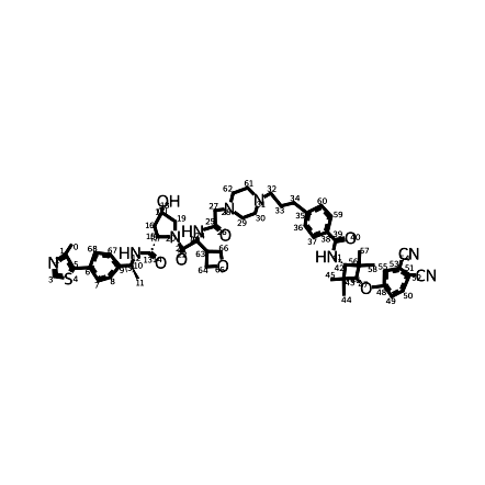 Cc1ncsc1-c1ccc([C@H](C)NC(=O)[C@@H]2C[C@@H](O)CN2C(=O)[C@H](NC(=O)CN2CCN(CCCc3ccc(C(=O)N[C@H]4C(C)(C)[C@H](Oc5ccc(C#N)c(C#N)c5)C4(C)C)cc3)CC2)C2COC2)cc1